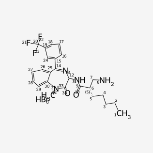 Br.CCCCC[C@@H](CN)C(=O)NC1N=C(c2cccc(C(F)(F)F)c2)c2ccccc2N(C)C1=O